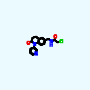 O=C(CCl)NCc1ccc2c(c1)CCC(=O)N2c1cccnc1